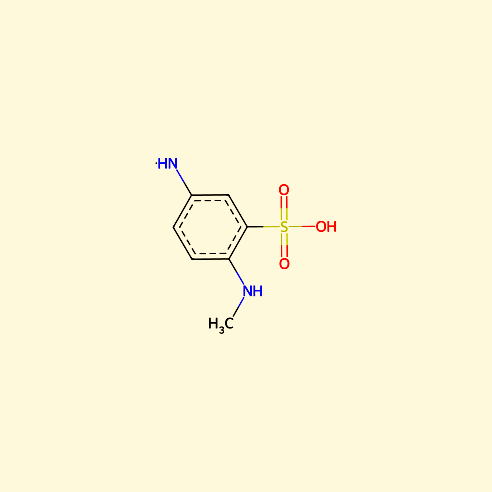 CNc1ccc([NH])cc1S(=O)(=O)O